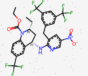 CCOC(=O)N1c2ccc(C(F)(F)F)cc2[C@@H](Nc2ncc([N+](=O)[O-])cc2Cc2cc(C(F)(F)F)cc(C(F)(F)F)c2)C[C@H]1CC